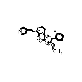 CCOC(=O)[C@H](CN(C(C)=O)N1CCC[C@@H](CCc2ccncc2)C1=O)c1ccccc1F